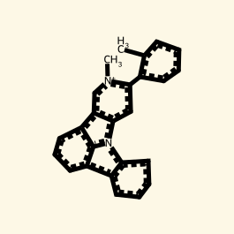 Cc1ccccc1-c1cc2c(c[n+]1C)c1cccc3c4ccccc4n2c31